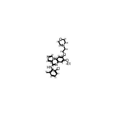 CCOc1cc2nc(Nc3c(C)cccc3Cl)c3cncn3c2cc1OCCN1CCOCC1